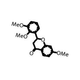 COc1ccc2c(c1)OC(c1cccc(OC)c1OC)CC2=O